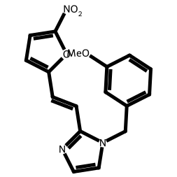 COc1cccc(Cn2ccnc2C=Cc2ccc([N+](=O)[O-])o2)c1